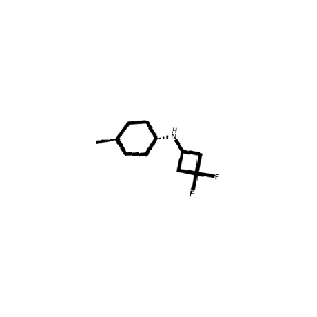 C[C@H]1CC[C@H](NC2CC(F)(F)C2)CC1